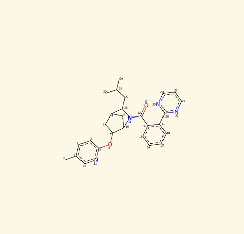 Cc1ccc(OC2CC3CC2N(C(=O)c2ccccc2-c2ncccn2)C3CC(C)C)nc1